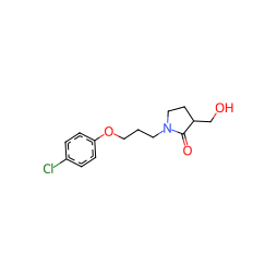 O=C1C(CO)CCN1CCCOc1ccc(Cl)cc1